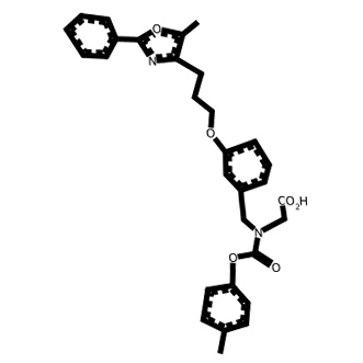 Cc1ccc(OC(=O)N(CC(=O)O)Cc2cccc(OCCCc3nc(-c4ccccc4)oc3C)c2)cc1